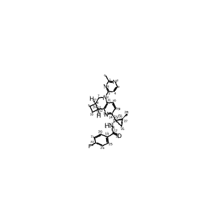 Cc1nccc(N2C[C@H]3CC[C@H]3c3nc([C@]4(NC(=O)c5ccc(F)cc5)C[C@@H]4C)ccc32)n1